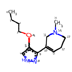 CCCCOc1c[nH]nc1C1=CCCN(C)C1